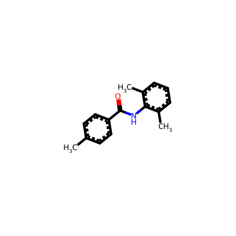 Cc1ccc(C(=O)Nc2c(C)cccc2C)cc1